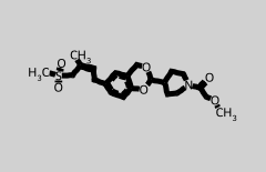 COCC(=O)N1CCC(C2OCc3cc(CC=C(C)CS(C)(=O)=O)ccc3O2)CC1